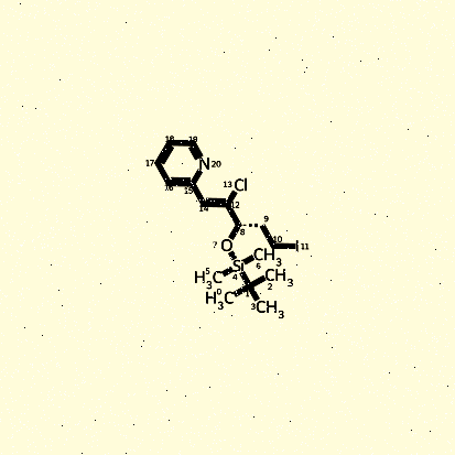 CC(C)(C)[Si](C)(C)O[C@@H](CCI)/C(Cl)=C/c1ccccn1